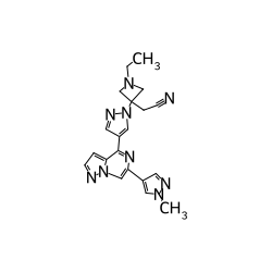 CCN1CC(CC#N)(n2cc(-c3nc(-c4cnn(C)c4)cn4nccc34)cn2)C1